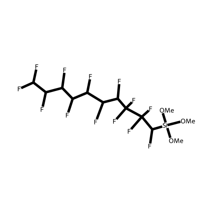 CO[Si](OC)(OC)C(F)C(F)(F)C(F)(F)C(F)C(F)C(F)C(F)C(F)C(F)C(F)F